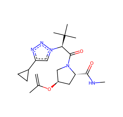 C=C(C)O[C@@H]1C[C@@H](C(=O)NC)N(C(=O)[C@@H](n2cc(C3CC3)nn2)C(C)(C)C)C1